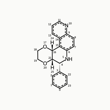 c1ccc([C@H]2Nc3ccc4ncccc4c3[C@H]3OCCO[C@@H]23)cc1